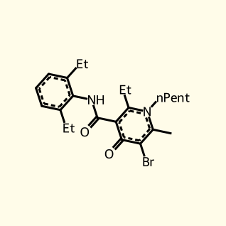 CCCCCn1c(C)c(Br)c(=O)c(C(=O)Nc2c(CC)cccc2CC)c1CC